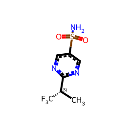 C[C@@H](c1ncc(S(N)(=O)=O)cn1)C(F)(F)F